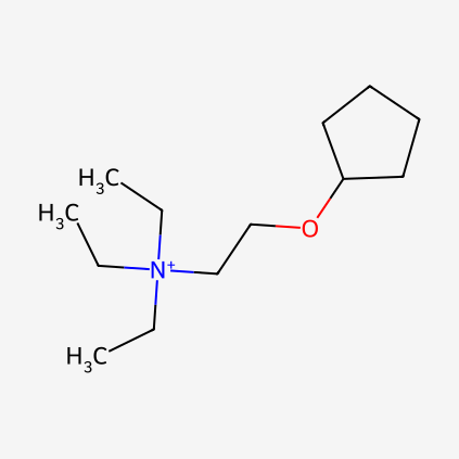 CC[N+](CC)(CC)CCOC1CCCC1